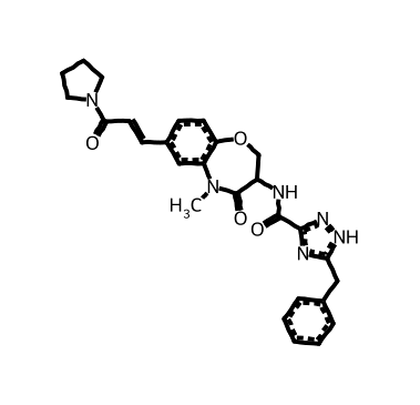 CN1C(=O)C(NC(=O)c2n[nH]c(Cc3ccccc3)n2)COc2ccc(C=CC(=O)N3CCCC3)cc21